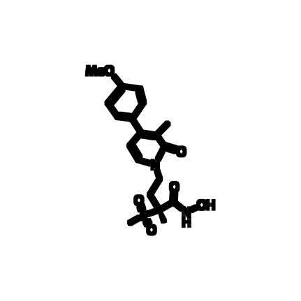 COc1ccc(-c2ccn(CC[C@](C)(C(=O)NO)S(C)(=O)=O)c(=O)c2C)cc1